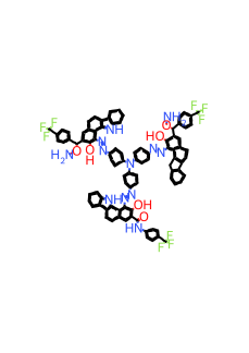 NOC(c1ccc(C(F)(F)F)cc1)c1cc2ccc3c(c2c(N=Nc2ccc(N(c4ccc(N=Nc5c(O)c(C(=O)Nc6ccc(C(F)(F)F)cc6)cc6ccc7c8ccccc8[nH]c7c56)cc4)c4ccc(N=Nc5c(O)c(C(ON)c6ccc(C(F)(F)F)cc6)cc6ccc7c8ccccc8[nH]c7c56)cc4)cc2)c1O)Cc1ccccc1-3